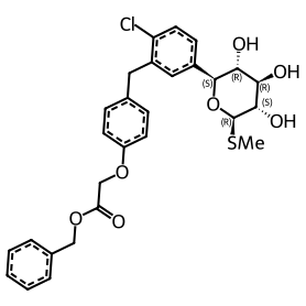 CS[C@H]1O[C@@H](c2ccc(Cl)c(Cc3ccc(OCC(=O)OCc4ccccc4)cc3)c2)[C@H](O)[C@@H](O)[C@@H]1O